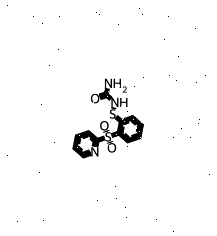 NC(=O)NSc1ccccc1S(=O)(=O)c1ccccn1